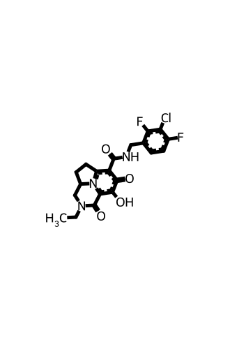 CCN1CC2CCc3c(C(=O)NCc4ccc(F)c(Cl)c4F)c(=O)c(O)c(n32)C1=O